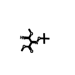 COC(=N)/C(=N\OC(C)(C)C)C(=O)OC